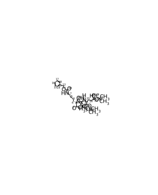 CC(=O)[C@H](CCCCNC(=O)OCc1ccccc1)N(O)C(=S)N[C@@H](CCC(=O)OC(C)(C)C)C(=O)OC(C)(C)C